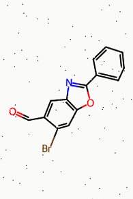 O=Cc1cc2nc(-c3ccccc3)oc2cc1Br